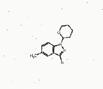 Cc1ccc2c(c1)c(Br)nn2C1CCCCO1